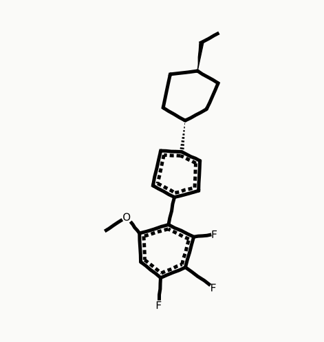 CC[C@H]1CC[C@H](c2ccc(-c3c(OC)cc(F)c(F)c3F)cc2)CC1